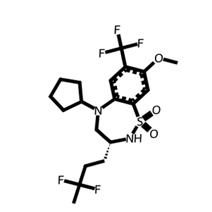 COc1cc2c(cc1C(F)(F)F)N(C1CCCC1)C[C@@H](CCC(C)(F)F)NS2(=O)=O